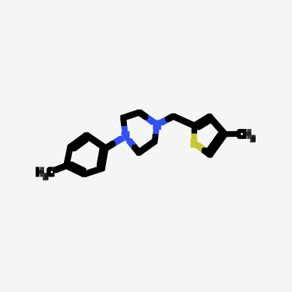 Cc1ccc(N2CCN(Cc3cc(C)cs3)CC2)cc1